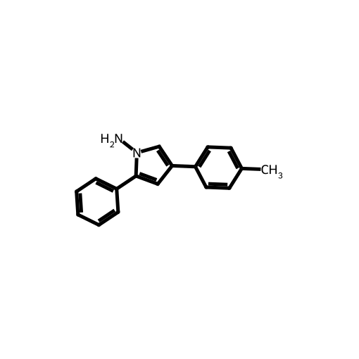 Cc1ccc(-c2cc(-c3ccccc3)n(N)c2)cc1